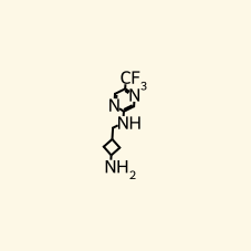 NC1CC(CNc2cnc(C(F)(F)F)cn2)C1